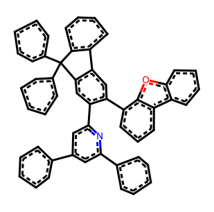 c1ccc(-c2cc(-c3ccccc3)nc(-c3cc4c(cc3-c3cccc5c3oc3ccccc35)-c3ccccc3C4(c3ccccc3)c3ccccc3)c2)cc1